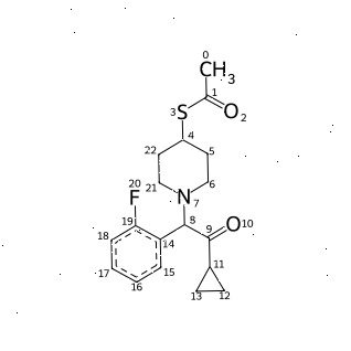 CC(=O)SC1CCN(C(C(=O)C2CC2)c2ccccc2F)CC1